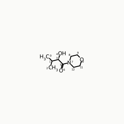 CC(C)[C@@H](O)C(=O)N1CCOCC1